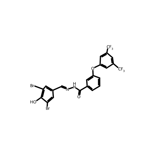 O=C(N/N=C/c1cc(Br)c(O)c(Br)c1)c1cccc(Oc2cc(C(F)(F)F)cc(C(F)(F)F)c2)c1